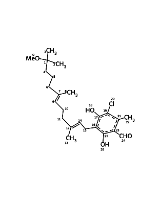 COC(C)(C)CCC/C(C)=C/CC/C(C)=C/Cc1c(O)c(Cl)c(C)c(C=O)c1O